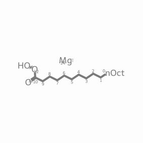 CCCCCCCCCCCCCCCCCC(=O)OO.[Mg]